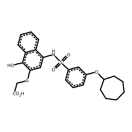 O=C(O)CSc1cc(NS(=O)(=O)c2cccc(OC3CCCCCC3)c2)c2ccccc2c1O